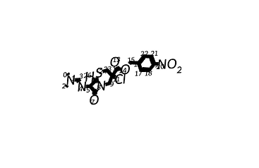 CN(C)C=NC1C(=O)N2CC(Cl)(C(=O)OCc3ccc([N+](=O)[O-])cc3)CS[C@H]12